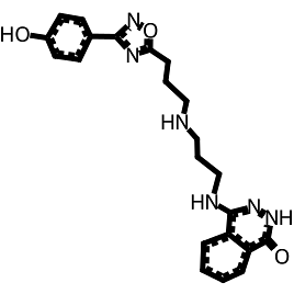 O=c1[nH]nc(NCCCNCCCc2nc(-c3ccc(O)cc3)no2)c2ccccc12